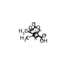 CC1=C[C@@]23C(COC(=O)C24CO4)C(C(=O)O)=CC3[C@@H]1C